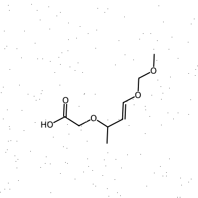 COCOC=CC(C)OCC(=O)O